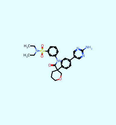 CCN(CC)S(=O)(=O)c1cccc(NC(=O)C2(c3ccc(-c4cnc(N)nc4)cc3)CCCOC2)c1